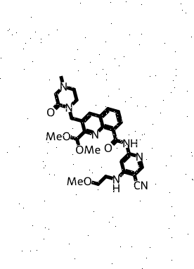 COCCNc1cc(NC(=O)c2cccc3cc(CN4CCN(C)CC4=O)c(C(OC)OC)nc23)ncc1C#N